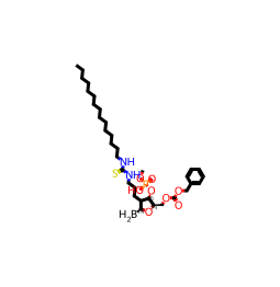 B[C@@H]1O[C@H](COC(=O)OCc2ccccc2)[C@H](OP(=O)(O)OC)C1CCCNC(=S)NCCCCCCCCCCCCCCC